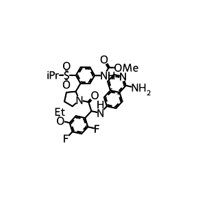 CCOc1cc(C(Nc2ccc3c(N)nccc3c2)C(=O)N2CCCC2c2cc(NC(=O)OC)ccc2S(=O)(=O)C(C)C)c(F)cc1F